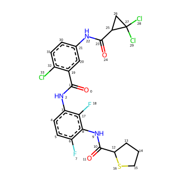 O=C(Nc1ccc(F)c(NC(=O)C2CCCS2)c1F)c1cc(NC(=O)C2CC2(Cl)Cl)ccc1Cl